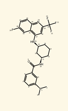 CN(C)c1cccc(C(=O)N[C@@H]2CCC[C@H](Nc3cc(C(F)(F)F)nc4ccc(F)cc34)C2)c1